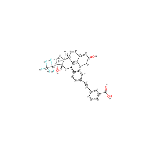 C[C@]12C[C@H](c3ccc(C#Cc4cccc(C(=O)O)c4)cc3)C3=C4CCC(=O)C=C4CC[C@H]3[C@@H]1CC[C@@]2(O)C(F)(F)C(F)(F)F